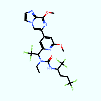 CCN(C(=O)NC(CCC(F)(F)F)C(F)(F)F)C(c1cc(-c2cn3ccnc3c(OC)n2)cc(OC)n1)C(F)(F)F